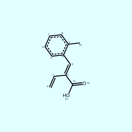 C=C/C(=C\c1ccccc1C)C(=O)O